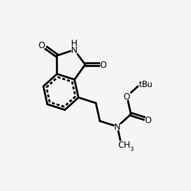 CN(CCc1cccc2c1C(=O)NC2=O)C(=O)OC(C)(C)C